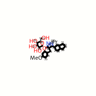 COc1ccc(Cc2c(O[C@@H]3O[C@H](CO)[C@@H](O)[C@H](O)[C@H]3O)nn(C(C)C)c2-c2ccc3ccccc3c2)cc1